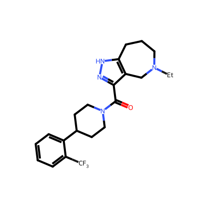 CCN1CCCc2[nH]nc(C(=O)N3CCC(c4ccccc4C(F)(F)F)CC3)c2C1